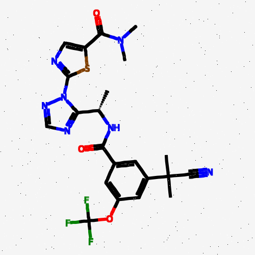 C[C@H](NC(=O)c1cc(OC(F)(F)F)cc(C(C)(C)C#N)c1)c1ncnn1-c1ncc(C(=O)N(C)C)s1